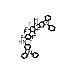 Fc1c(F)c(-c2c(F)c(F)c(Nc3ccc4c(c3)c3ccccc3n4-c3ccccc3)c(F)c2F)c(F)c(F)c1Nc1ccc2c(c1)c1ccccc1n2-c1ccccc1